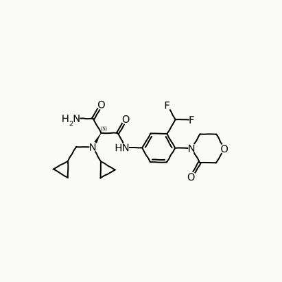 NC(=O)[C@@H](C(=O)Nc1ccc(N2CCOCC2=O)c(C(F)F)c1)N(CC1CC1)C1CC1